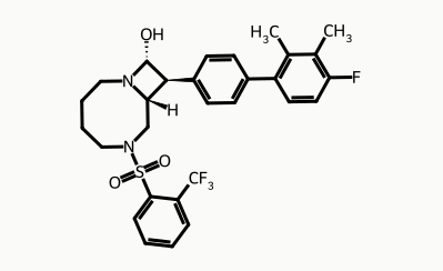 Cc1c(F)ccc(-c2ccc([C@@H]3[C@@H](O)N4CCCCN(S(=O)(=O)c5ccccc5C(F)(F)F)C[C@@H]34)cc2)c1C